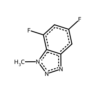 Cn1nnc2cc(F)cc(F)c21